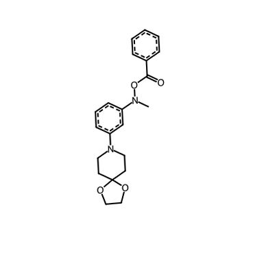 CN(OC(=O)c1ccccc1)c1cccc(N2CCC3(CC2)OCCO3)c1